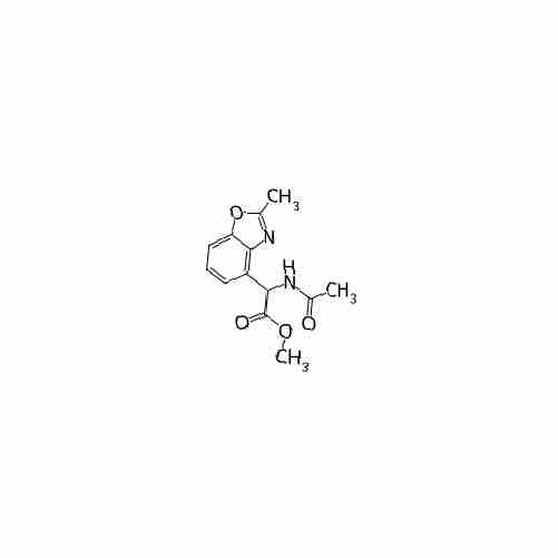 COC(=O)C(NC(C)=O)c1cccc2oc(C)nc12